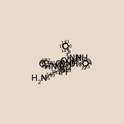 CC(C)C[C@@H](NC(=O)[C@@H](CCc1ccccc1)NC(=O)[C@H](N)Cc1ccccc1)C(=O)N[C@H](CCCCCN)C(=O)NCC1CCOCC1